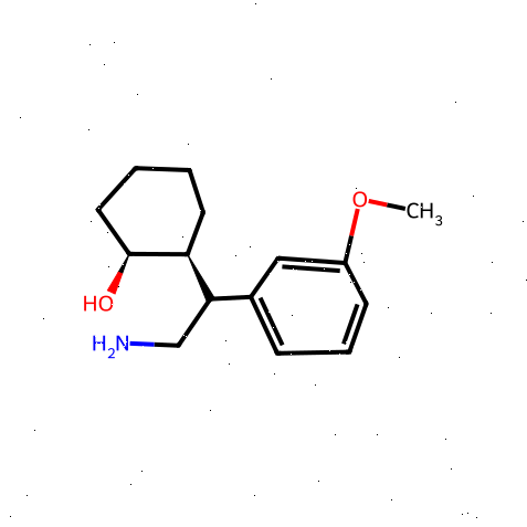 COc1cccc(C(CN)[C@@H]2CCCC[C@@H]2O)c1